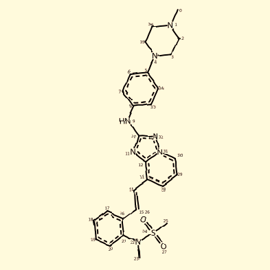 CN1CCN(c2ccc(Nc3nc4c(C=Cc5ccccc5N(C)S(C)(=O)=O)cccn4n3)cc2)CC1